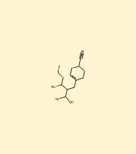 CCOC(O)C(CC1=CCC(C#N)CC1)C(O)O